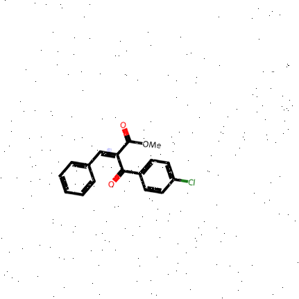 COC(=O)/C(=C/c1ccccc1)C(=O)c1ccc(Cl)cc1